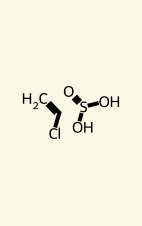 C=CCl.O=S(O)O